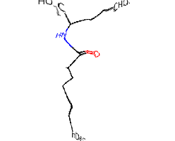 CCCCCCCCCCCCCCCC(=O)NC(CC[C]=O)C(=O)O